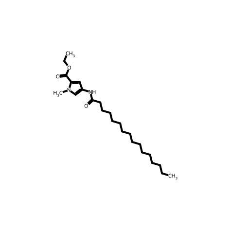 CCCCCCCCCCCCCCCC(=O)Nc1cc(C(=O)OCC)n(C)c1